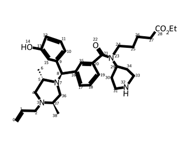 C=CCN1C[C@H](C)N([C@@H](c2cccc(O)c2)c2cccc(C(=O)N(CCCCC(=O)OCC)C3CCNCC3)c2)C[C@H]1C